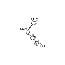 COC1(C#Cc2ccc(Cl)c(Cl)c2)CCN(c2ccc(-c3nc(CO)no3)nn2)C1